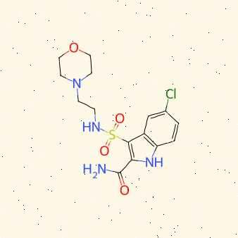 NC(=O)c1[nH]c2ccc(Cl)cc2c1S(=O)(=O)NCCN1CCOCC1